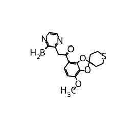 Bc1nccnc1CC(=O)c1ccc(OC)c2c1OC1(CCSCC1)O2